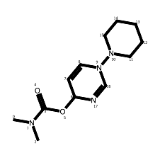 CN(C)C(=O)OC1C=CN(N2CCCCC2)C=N1